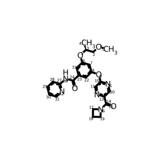 COC[C@H](C)Oc1cc(Oc2cnc(C(=O)N3CCC3)cn2)cc(C(=O)Nc2ccccn2)c1